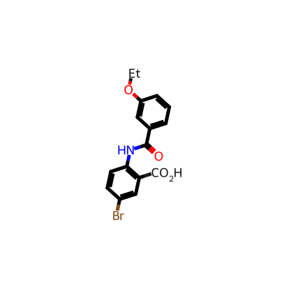 CCOc1cccc(C(=O)Nc2ccc(Br)cc2C(=O)O)c1